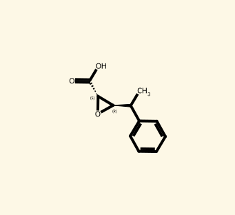 CC(c1ccccc1)[C@H]1O[C@@H]1C(=O)O